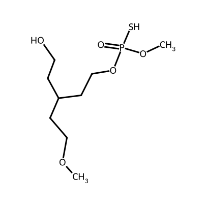 COCCC(CCO)CCOP(=O)(S)OC